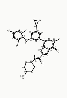 Cc1cc(F)cc(C)c1Oc1cc(-c2cn(C)c(=O)c3cc(C(=O)NC4CCC(O)CC4)sc23)cc(C2CC2)c1